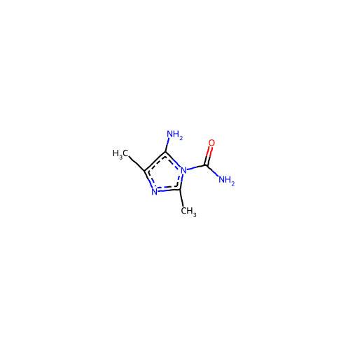 Cc1nc(C)n(C(N)=O)c1N